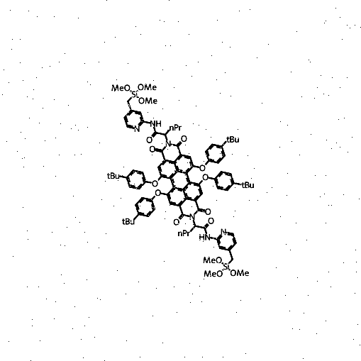 CCCC(C(=O)Nc1cc(C[Si](OC)(OC)OC)ccn1)N1C(=O)c2cc(Oc3ccc(C(C)(C)C)cc3)c3c4c(Oc5ccc(C(C)(C)C)cc5)cc5c6c(cc(Oc7ccc(C(C)(C)C)cc7)c(c7c(Oc8ccc(C(C)(C)C)cc8)cc(c2c37)C1=O)c64)C(=O)N(C(CCC)C(=O)Nc1cc(C[Si](OC)(OC)OC)ccn1)C5=O